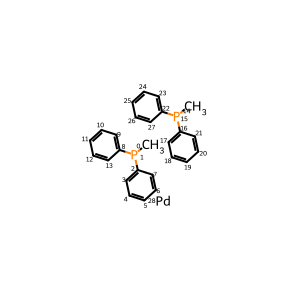 CP(c1ccccc1)c1ccccc1.CP(c1ccccc1)c1ccccc1.[Pd]